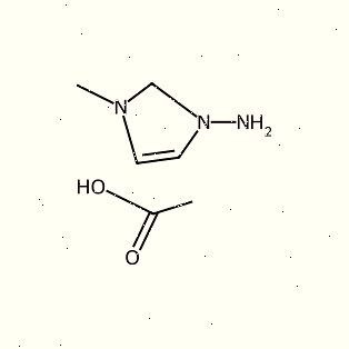 CC(=O)O.CN1C=CN(N)C1